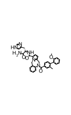 COc1ccccc1-c1ccc(C(=O)N2Cc3ccc(C(=O)N[C@@H](Cc4c[nH]cn4)C(N)=O)n3Cc3ccccc32)cc1C